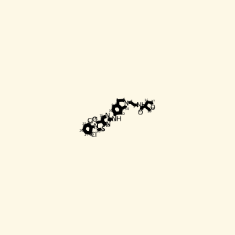 O=C(NCCN1CCc2ccc(Nc3ncc4c(n3)SCN(c3c(Cl)cccc3Cl)C4=O)cc2C1)C1CCOC1